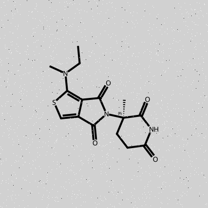 CCN(C)c1scc2c1C(=O)N([C@]1(C)CCC(=O)NC1=O)C2=O